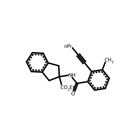 CCCC#Cc1c(C)cccc1C(=O)NC1(C(=O)OCC)Cc2ccccc2C1